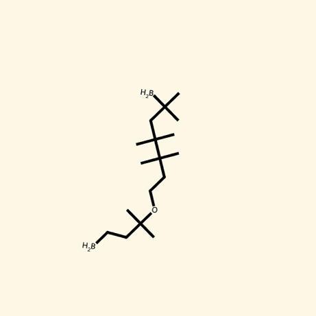 BCCC(C)(C)OCCC(C)(C)C(C)(C)CC(B)(C)C